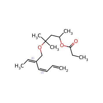 C=C/C=C\C(=C/C)COC(C)(C)CC(C)OC(=O)CC